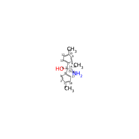 Cc1ccc(C(O)(c2ccc(C)cc2)[C@H](C)N)cc1